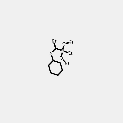 CCO[Si](CC)(OCC)C(CC)NC1CCCCC1